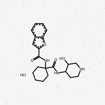 Cl.O=C(NC1(C(=O)NC2CCNCC2O)CCCCC1)c1cc2ccccc2s1